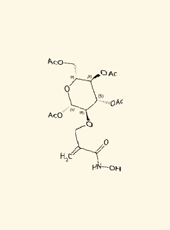 C=C(CO[C@H]1[C@H](OC(C)=O)O[C@H](COC(C)=O)[C@@H](OC(C)=O)[C@@H]1OC(C)=O)C(=O)NO